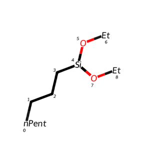 CCCCCCCC[Si](OCC)OCC